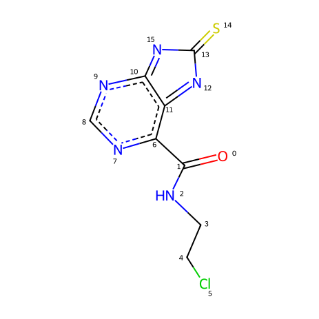 O=C(NCCCl)c1ncnc2c1=NC(=S)N=2